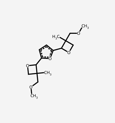 COCC1(C)COC1c1ccc(C2OCC2(C)COC)o1